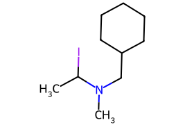 CC(I)N(C)CC1CCCCC1